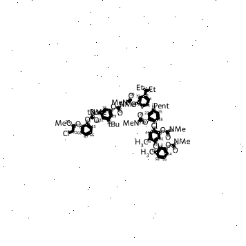 CCC(CC)c1cccc(OC(=O)NC)c1.CCCC(C)c1cccc(OC(=O)NC)c1.CNC(=O)Oc1cc(C(C)(C)C)cc(C(C)(C)C)c1.CNC(=O)Oc1cc(C)c(C)cc1Cl.CNC(=O)Oc1cccc(C)c1.CNC(=O)Oc1ccccc1OC(CCl)OC